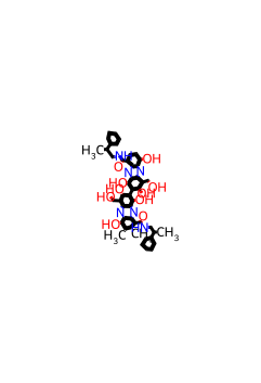 Cc1c(C)c(C(=O)NCC(C)c2ccccc2)c2nc3c(O)c(-c4c(O)c(CO)c5nc6c(O)ccc(C(=O)NCC(C)c7ccccc7)c6nc5c4O)c(O)c(CO)c3nc2c1O